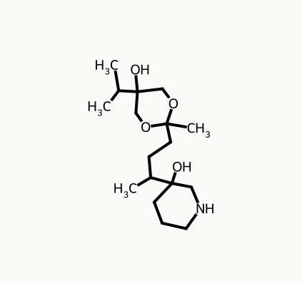 CC(C)C1(O)COC(C)(CCC(C)C2(O)CCCNC2)OC1